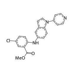 COC(=O)c1cc(Cl)ccc1Nc1ccc2c(ccn2-c2ccncc2)c1